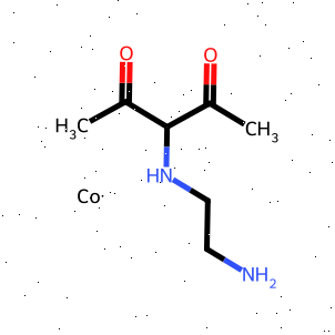 CC(=O)C(NCCN)C(C)=O.[Co]